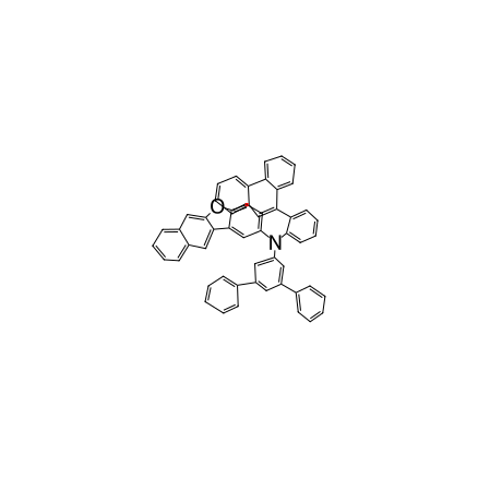 c1ccc(-c2cc(-c3ccccc3)cc(N(c3ccc4oc5cc6ccccc6cc5c4c3)c3ccccc3-c3cc4ccccc4c4ccccc34)c2)cc1